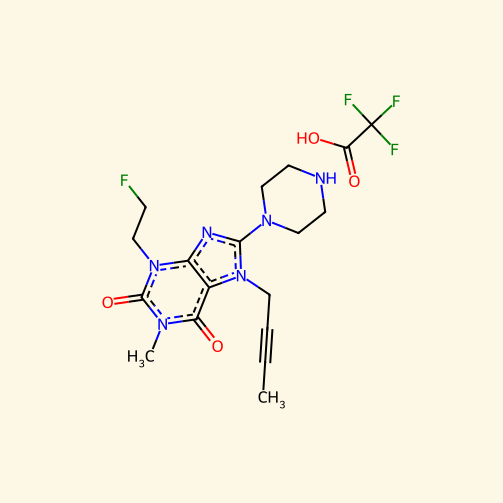 CC#CCn1c(N2CCNCC2)nc2c1c(=O)n(C)c(=O)n2CCF.O=C(O)C(F)(F)F